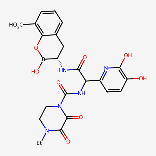 CCN1CCN(C(=O)NC(C(=O)N[C@H]2Cc3cccc(C(=O)O)c3OB2O)c2ccc(O)c(O)n2)C(=O)C1=O